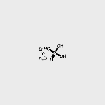 O.O=P(O)(O)O.[Er].[Y]